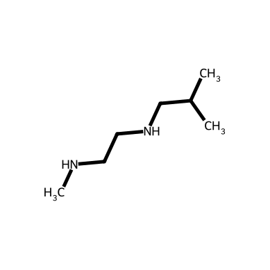 CNCCNCC(C)C